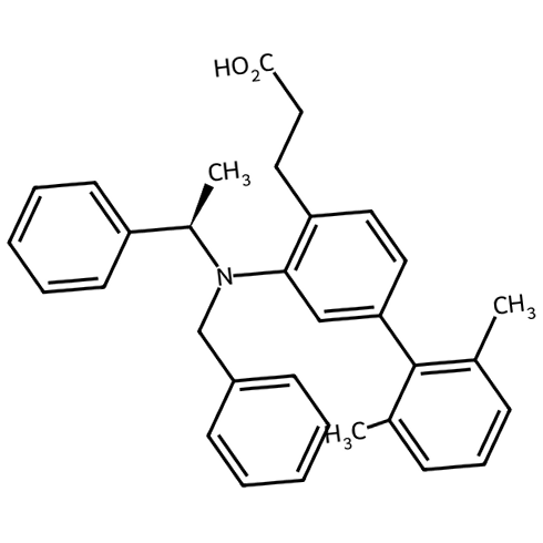 Cc1cccc(C)c1-c1ccc(CCC(=O)O)c(N(Cc2ccccc2)[C@H](C)c2ccccc2)c1